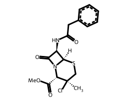 COC(=O)[C@@H]1N2C(=O)[C@@H](NC(=O)Cc3ccccc3)[C@H]2SC[C@@]1(C)Cl